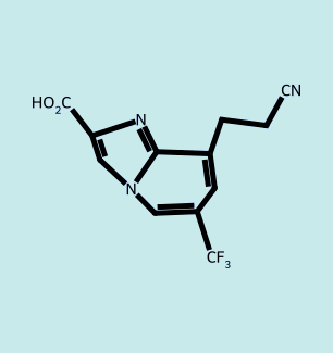 N#CCCc1cc(C(F)(F)F)cn2cc(C(=O)O)nc12